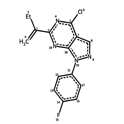 C=C(CC)c1nc(Cl)c2cnn(-c3ccc(F)cc3)c2n1